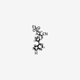 CCS(=O)(=O)N1CC(C(F)C#N)(n2cc(-c3ncnc4[nH]ncc34)cn2)C1